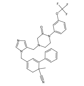 CC1(C#N)CC=C(Cn2cncc2CN2CCN(c3cccc(OC(F)(F)F)c3)C(=O)C2)C=C1c1ccccc1